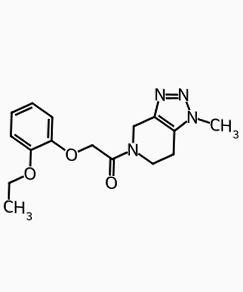 CCOc1ccccc1OCC(=O)N1CCc2c(nnn2C)C1